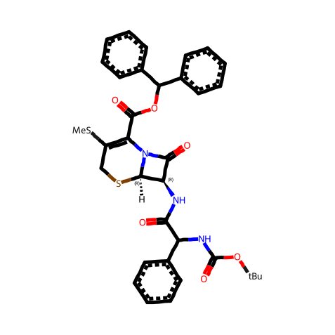 CSC1=C(C(=O)OC(c2ccccc2)c2ccccc2)N2C(=O)[C@@H](NC(=O)C(NC(=O)OC(C)(C)C)c3ccccc3)[C@H]2SC1